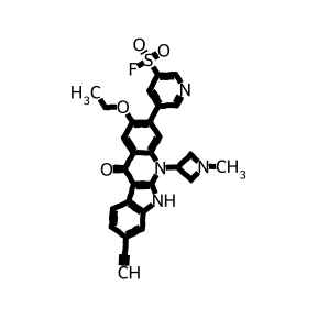 C#Cc1ccc2c(c1)[nH]c1c2c(=O)c2cc(OCC)c(-c3cncc(S(=O)(=O)F)c3)cc2n1C1CN(C)C1